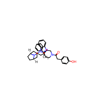 Cc1nc2ccccc2n1C1C[C@H]2CC[C@@H](C1)N2CCC1(c2ccccc2)CCN(C(=O)Cc2ccc(O)cc2)CC1